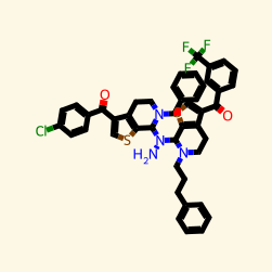 NN(C1c2scc(C(=O)c3cccc(C(F)(F)F)c3)c2CCN1CCCc1ccccc1)C1c2scc(C(=O)c3ccc(Cl)cc3)c2CCN1Cc1ccccc1